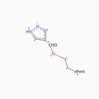 CCCCCCCOC=O.c1cn[nH]c1